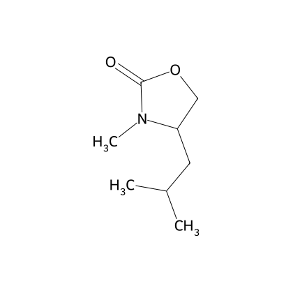 CC(C)CC1COC(=O)N1C